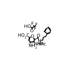 CCCN(CCCc1ccccc1)C(=O)[C@@H]1OC(C(=O)O)=C[C@H](N)[C@H]1NC(C)=O.O=C(O)C(F)(F)F